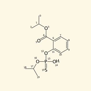 CC(C)OC(=O)c1ccccc1OP(O)(=S)OC(C)C